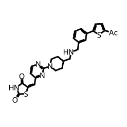 CC(=O)c1ccc(-c2cccc(CNCC3CCN(c4nccc(C=C5SC(=O)NC5=O)n4)CC3)c2)s1